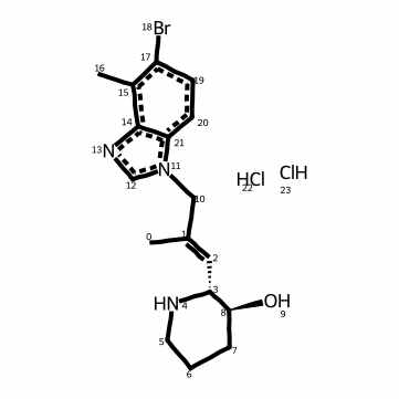 C/C(=C\[C@H]1NCCC[C@@H]1O)Cn1cnc2c(C)c(Br)ccc21.Cl.Cl